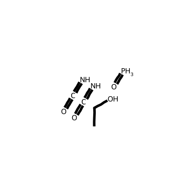 CCO.N=C=O.N=C=O.O=[PH3]